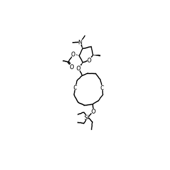 CC[Si](CC)(CC)OC1CCCCCCC(O[C@@H]2O[C@H](C)C[C@H](N(C)C)[C@H]2OC(C)=O)CCCCC1